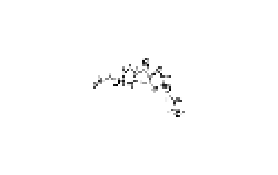 C#CCOc1ccc(C(=O)c2ccc(OCCCBr)cc2)cc1